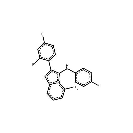 Fc1ccc(Nc2c(-c3ccc(F)cc3F)nc3cccc(C(F)(F)F)n23)cc1